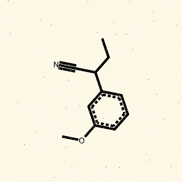 CCC(C#N)c1cccc(OC)c1